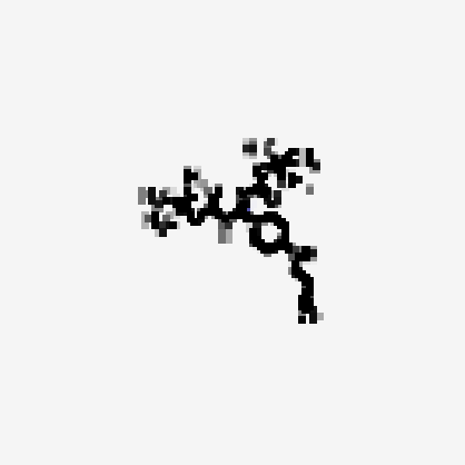 C#CCCNC1CCN(/C(=N\C(=O)OC(C)(C)C)NC(=O)OC(C)(C)C)CC1